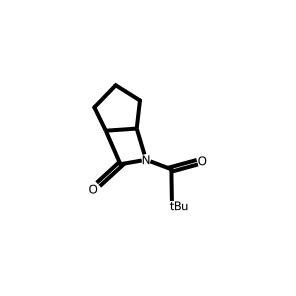 CC(C)(C)C(=O)N1C(=O)C2CCCC21